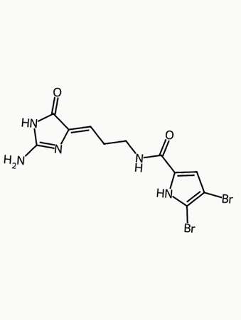 NC1=N/C(=C\CCNC(=O)c2cc(Br)c(Br)[nH]2)C(=O)N1